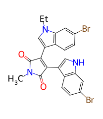 CCn1cc(C2=C(c3c[nH]c4cc(Br)ccc34)C(=O)N(C)C2=O)c2ccc(Br)cc21